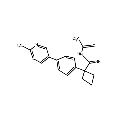 N=C(NC(=O)C(Cl)(Cl)Cl)C1(c2ccc(-c3cnc(N)nc3)cc2)CCC1